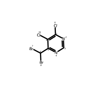 Clc1ncnc(C(Br)Br)c1Cl